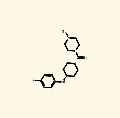 CCC(C)N1CCN(C(=O)[C@H]2CC[C@H](Nc3ccc(F)cc3)CC2)CC1